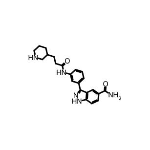 NC(=O)c1ccc2[nH]nc(-c3cccc(NC(=O)CCC4CCCNC4)c3)c2c1